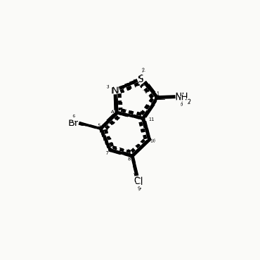 Nc1snc2c(Br)cc(Cl)cc12